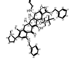 C=CCN[C@@H]1c2onc(OCc3ccccc3)c2C(=O)[C@@]2(O[Si](C)(C)C(C)(C)C)C(O)=C3C(=O)c4c(OCc5ccccc5)cc(C5CCCN5C)c(F)c4C[C@H]3C[C@@H]12